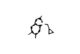 O=Cc1cc2cc(F)c(F)cc2n1CC1CC1